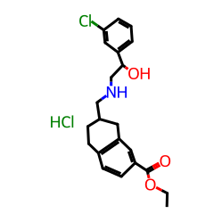 CCOC(=O)c1ccc2c(c1)CC(CNCC(O)c1cccc(Cl)c1)CC2.Cl